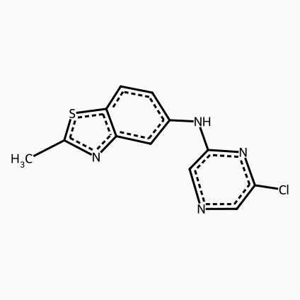 Cc1nc2cc(Nc3cncc(Cl)n3)ccc2s1